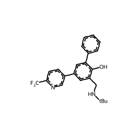 CC(C)(C)NCc1cc(-c2ccc(C(F)(F)F)nc2)cc(-c2ccccc2)c1O